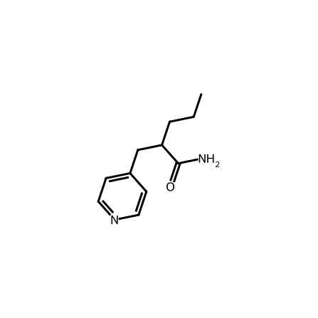 CCCC(Cc1ccncc1)C(N)=O